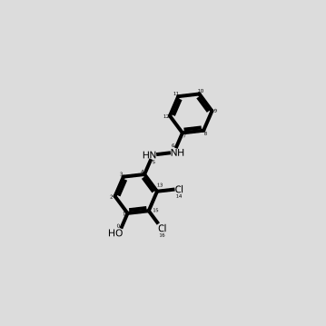 Oc1ccc(NNc2ccccc2)c(Cl)c1Cl